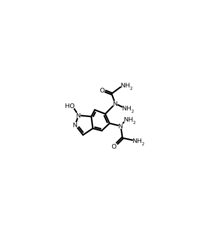 NC(=O)N(N)c1cc2cnn(O)c2cc1N(N)C(N)=O